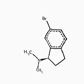 CN(C)[C@@H]1CCc2ccc(Br)cc21